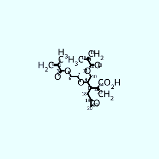 C=C(C)C(=O)OCCOC(COC(=O)C(=C)C)C(CC1CO1)C(=C)C(=O)O